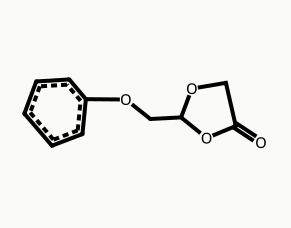 O=C1COC(COc2ccccc2)O1